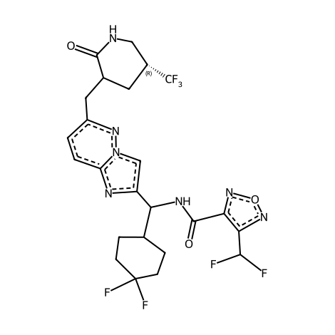 O=C(NC(c1cn2nc(CC3C[C@@H](C(F)(F)F)CNC3=O)ccc2n1)C1CCC(F)(F)CC1)c1nonc1C(F)F